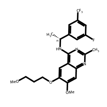 COCCCOc1cc2c(N[C@H](C)c3cc(F)cc(C(F)(F)F)c3)nc(C)nc2cc1OC